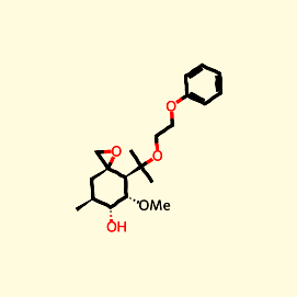 CO[C@@H]1[C@H](O)[C@@H](C)C[C@]2(CO2)[C@H]1C(C)(C)OCCOc1ccccc1